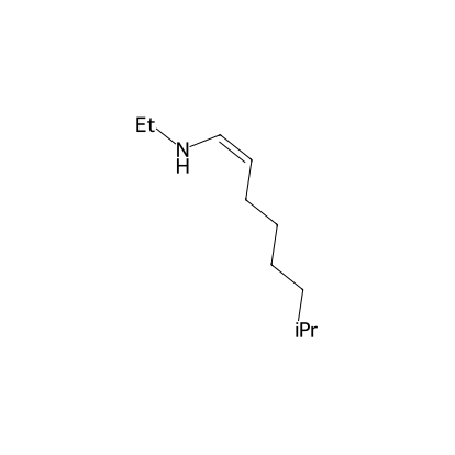 CCN/C=C\CCCCC(C)C